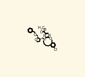 COC(=O)c1cnc2c(n1)N(C[C@@H]1CCO[C@H]1COCc1ccccc1)CCCCc1cc(Cl)ccc1CO2